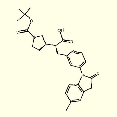 Cc1ccc2c(c1)CC(=O)N2c1cccc(C[C@H](C(=O)O)[C@H]2CCN(C(=O)OC(C)(C)C)C2)c1